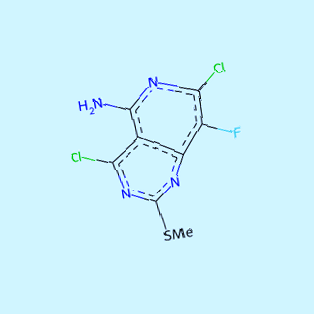 CSc1nc(Cl)c2c(N)nc(Cl)c(F)c2n1